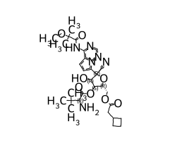 COC(C)(C)C(=O)Nc1ncnn2c([C@]3(C#N)O[C@H](COC(=O)CC4CCC4)[C@@H](OC(=O)[C@H](N)C(C)(C)C)[C@H]3O)ccc12